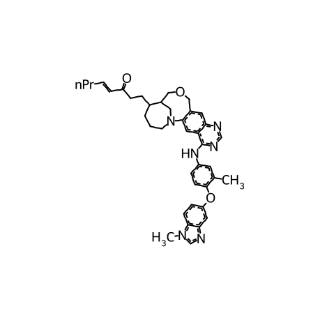 CCC/C=C/C(=O)CCC1CCCN2CC1COCc1cc3ncnc(Nc4ccc(Oc5ccc6c(c5)ncn6C)c(C)c4)c3cc12